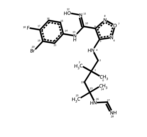 CC(C)(CNc1nonc1/C(=N/O)Nc1ccc(F)c(Br)c1)CC(C)(C)NC=N